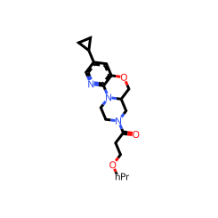 CCCOCCC(=O)N1CCN2c3ncc(C4CC4)cc3OCC2C1